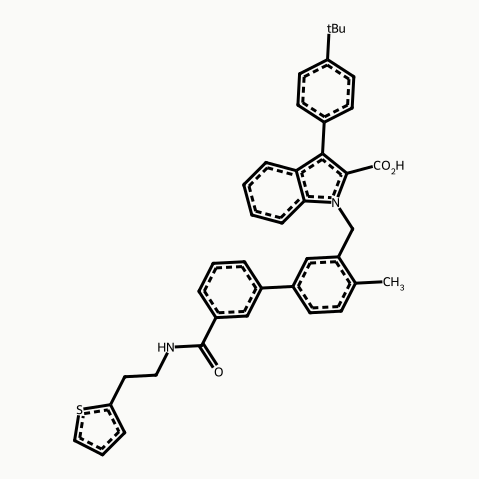 Cc1ccc(-c2cccc(C(=O)NCCc3cccs3)c2)cc1Cn1c(C(=O)O)c(-c2ccc(C(C)(C)C)cc2)c2ccccc21